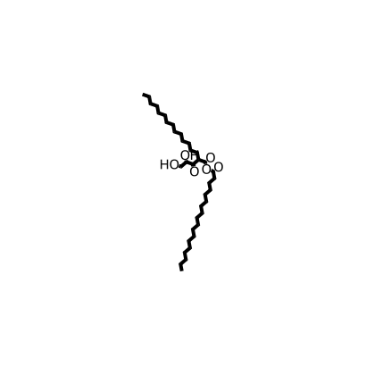 CCCCCCCCCCCCCCCCCC(=O)OC(=O)C(CCCCCCCCCCCCCC)C(=O)C(O)CO